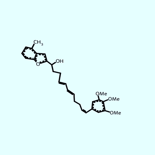 COc1cc(/C=C\CC/C=C/C=C/CCC(O)c2cc3c(C)cccc3o2)cc(OC)c1OC